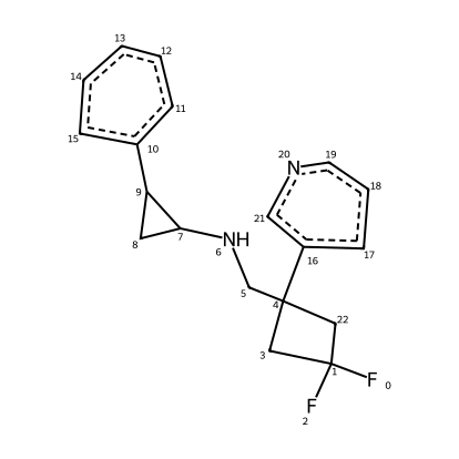 FC1(F)CC(CNC2CC2c2ccccc2)(c2cccnc2)C1